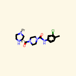 Cc1ccc(NC(=O)N2CCN(C(=O)[C@H]3CN(C(C)C)CCN3)CC2)cc1Cl